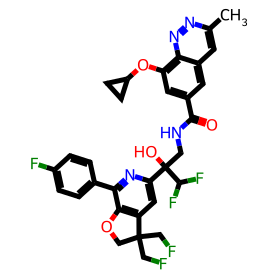 Cc1cc2cc(C(=O)NCC(O)(c3cc4c(c(-c5ccc(F)cc5)n3)OCC4(CF)CF)C(F)F)cc(OC3CC3)c2nn1